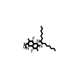 CCCCCCc1nc2c(C)c(F)c3c4nonc4c(C)c(F)c3c2nc1CCCCCC